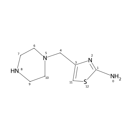 Nc1nc(CN2CCNCC2)cs1